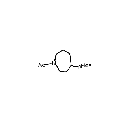 CCCCCCC1CCCN(C(C)=O)CC1